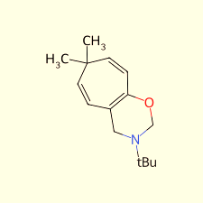 CC1(C)C=CC2=C(C=C1)OCN(C(C)(C)C)C2